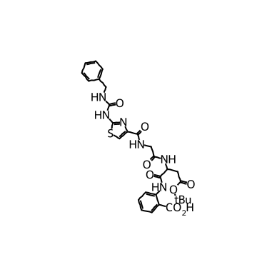 CC(C)(C)OC(=O)CC(NC(=O)CNC(=O)c1csc(NC(=O)NCc2ccccc2)n1)C(=O)Nc1ccccc1C(=O)O